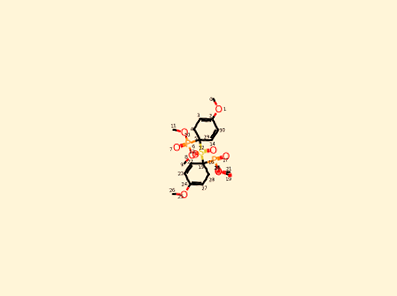 COC1=CCC(P(=O)(OC)OC)(S(=O)(=O)C2(P(=O)(OC)OC)C=CC(OC)=CC2)C=C1